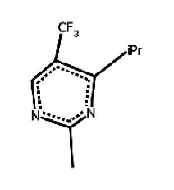 Cc1ncc(C(F)(F)F)c(C(C)C)n1